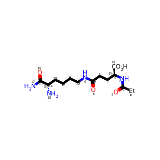 CCC(=O)N[C@@H](CCC(=O)NCCCC[C@H](N)C(N)=O)C(=O)O